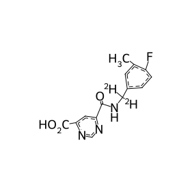 [2H]C([2H])(NC(=O)c1cc(C(=O)O)ncn1)c1ccc(F)c(C)c1